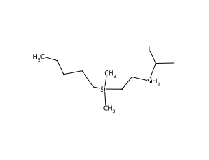 CCCCC[Si](C)(C)CC[SiH2]C(I)I